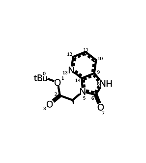 CC(C)(C)OC(=O)Cn1c(=O)[nH]c2cccnc21